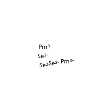 [Pm+3].[Pm+3].[Se-2].[Se-2].[Se-2]